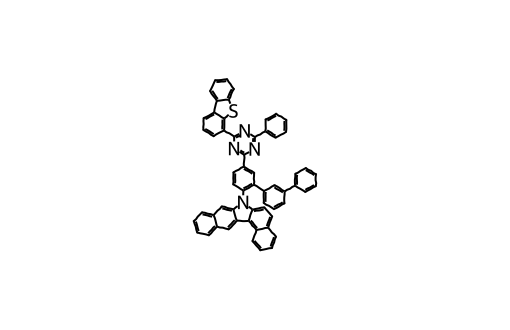 c1ccc(-c2cccc(-c3cc(-c4nc(-c5ccccc5)nc(-c5cccc6c5sc5ccccc56)n4)ccc3-n3c4cc5ccccc5cc4c4c5ccccc5ccc43)c2)cc1